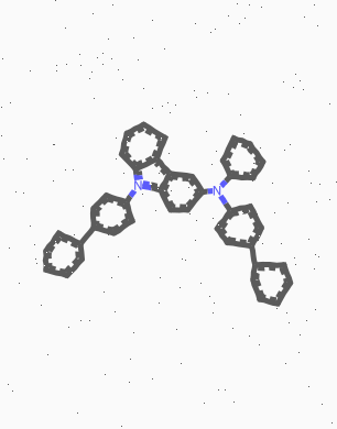 c1ccc(-c2ccc(N(c3ccccc3)c3ccc4c(c3)c3ccccc3n4-c3ccc(-c4ccccc4)cc3)cc2)cc1